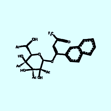 CC(=O)C(O)[C@H]1OC(OC(=CC(=O)C(F)(F)F)c2ccc3ccccc3c2)[C@@](O)(C(C)=O)[C@](O)(C(C)=O)[C@]1(O)C(C)=O